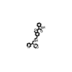 O=C1Nc2ccccc2C1=C1OCc2cc(CCNCC(c3cccnc3)N3CCOCC3)ccc21